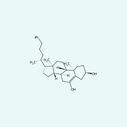 CC(C)CCC[C@@H](C)[C@H]1CC[C@H]2[C@@H]3CC(O)=C4C[C@H](O)CC[C@]4(C)[C@H]3CC[C@]12C